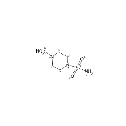 NS(=O)(=O)N1CCN(C(=O)O)CC1